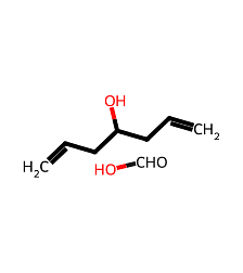 C=CCC(O)CC=C.O=CO